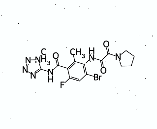 Cc1c(NC(=O)C(=O)N2CCCC2)c(Br)cc(F)c1C(=O)Nc1nnnn1C